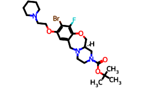 CC(C)(C)OC(=O)N1CCN2Cc3cc(OCCN4CCCCC4)c(Br)c(F)c3OC[C@H]2C1